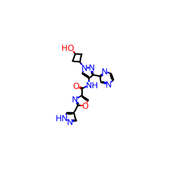 O=C(Nc1cn(C2CC(O)C2)nc1-c1cnccn1)c1coc(-c2cn[nH]c2)n1